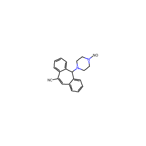 N#CC1=Cc2ccccc2C(N2CCN(N=O)CC2)c2ccccc21